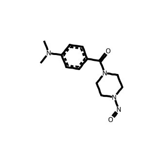 CN(C)c1ccc(C(=O)N2CCN(N=O)CC2)cc1